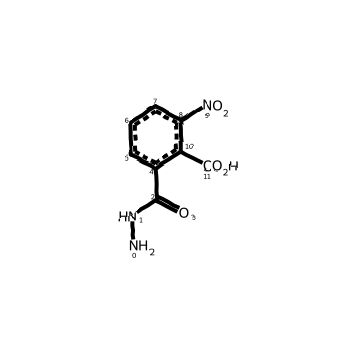 NNC(=O)c1cccc([N+](=O)[O-])c1C(=O)O